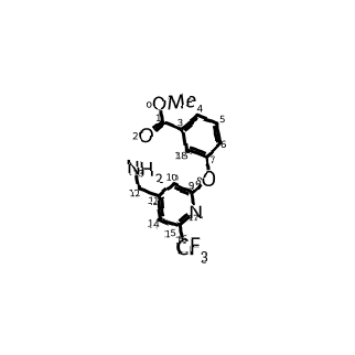 COC(=O)c1cccc(Oc2cc(CN)cc(C(F)(F)F)n2)c1